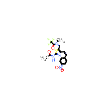 CC(=O)Nc1nc(/C=C\c2ccc([N+](=O)[O-])cc2)c(CN(C)C(=O)C(F)(F)F)s1